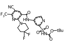 CC(C)(C)OC(=O)NS(=O)(=O)c1cc(NC(=O)c2cc(C#N)c(C(F)(F)F)nc2N2CCC(F)(F)CC2)ccn1